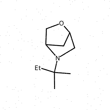 CCC(C)(C)N1CC2CC1CO2